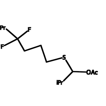 CCCC(F)(F)CCCSC(OC(C)=O)C(C)C